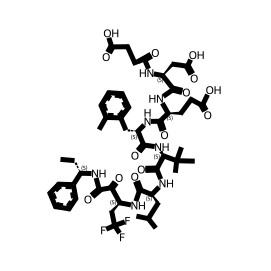 CC[C@H](NC(=O)C(=O)[C@H](CC(F)(F)F)NC(=O)[C@H](CC(C)C)NC(=O)[C@@H](NC(=O)[C@H](Cc1ccccc1C)NC(=O)[C@H](CCC(=O)O)NC(=O)[C@H](CC(=O)O)NC(=O)CCC(=O)O)C(C)(C)C)c1ccccc1